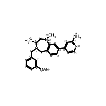 COc1cccc(CN2Cc3ccc(-c4ccnc(N)c4)cc3N(C)C[C@@H]2C)c1